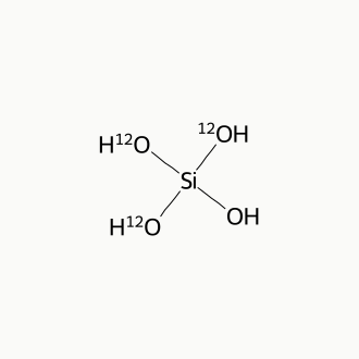 O[Si]([12OH])([12OH])[12OH]